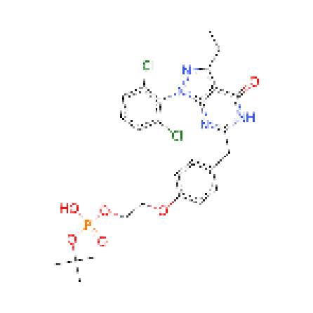 CC(C)c1nn(-c2c(Cl)cccc2Cl)c2nc(Cc3ccc(OCCOP(=O)(O)OC(C)(C)C)cc3)[nH]c(=O)c12